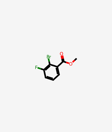 COC(=O)c1cccc(F)c1Br